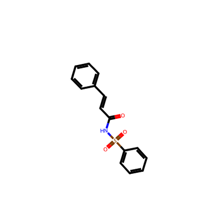 O=C(C=Cc1ccccc1)NS(=O)(=O)c1ccccc1